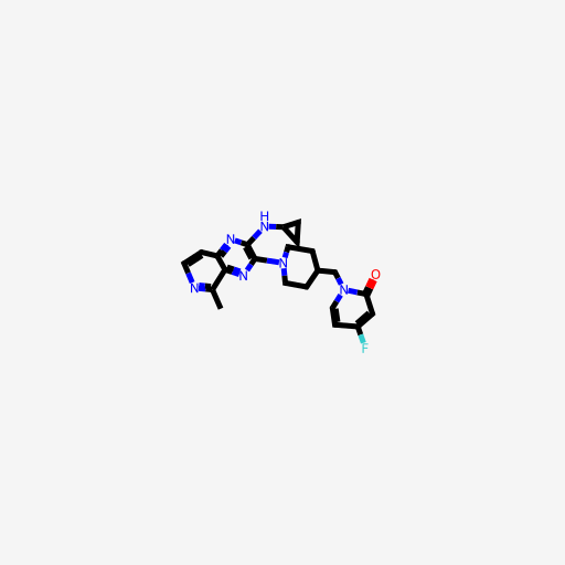 Cc1nccc2nc(NC3CC3)c(N3CCC(Cn4ccc(F)cc4=O)CC3)nc12